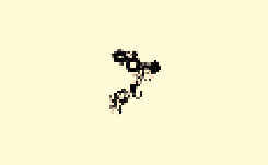 C=N/C=N\N1CCN(C(=O)CCN2C[C@]3(CC[C@](c4ccccc4)(N(C)C)CC3)N(CC3CCC3)C2=O)CC1